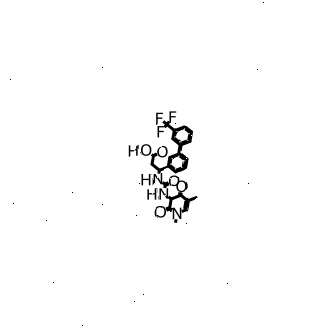 CC1=CN(C)C(=O)C(NC(=O)NC(CC(=O)O)c2cccc(-c3cccc(C(F)(F)F)c3)c2)C1=O